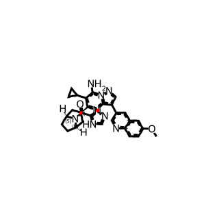 COc1ccc2ncc(-c3cnn4c(N)c(C5CC5)c([C@H]5C[C@H]6CC[C@@H](C5)N6C(=O)c5nnc[nH]5)nc34)cc2c1